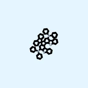 c1ccc(N(c2ccccc2)c2cc3c(c4c2sc2ccccc24)-c2c(cc(N(c4ccccc4)c4ccccc4)c4c2oc2ccccc24)C32c3ccccc3-c3ccccc32)cc1